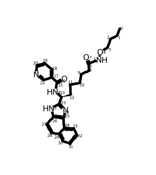 CCCCONC(=O)CCCCC[C@H](NC(=O)c1cccnc1)c1nc2c(ccc3ccccc32)[nH]1